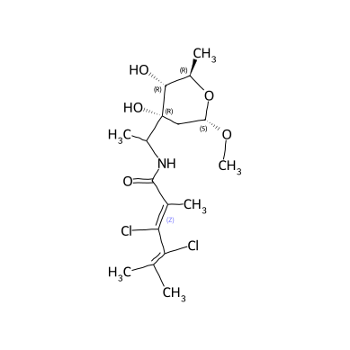 CO[C@@H]1C[C@@](O)(C(C)NC(=O)/C(C)=C(\Cl)C(Cl)=C(C)C)[C@H](O)[C@@H](C)O1